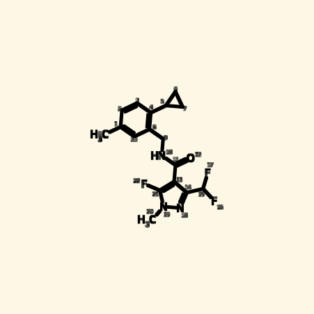 Cc1ccc(C2CC2)c(CNC(=O)c2c(C(F)F)nn(C)c2F)c1